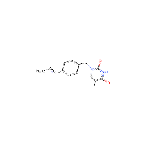 Cc1cn(Cc2ccc(/C=C/C(=O)O)cc2)c(=O)[nH]c1=O